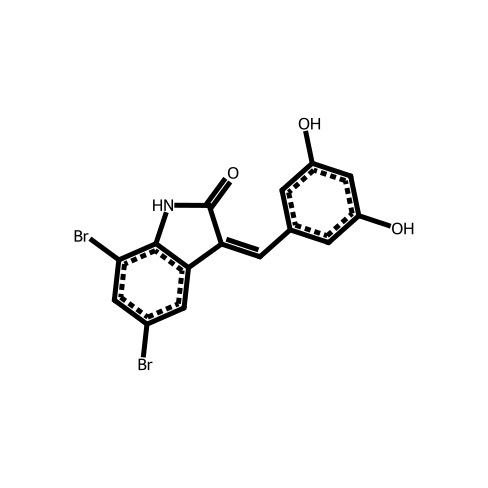 O=C1Nc2c(Br)cc(Br)cc2C1=Cc1cc(O)cc(O)c1